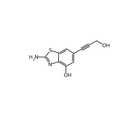 Nc1nc2c(O)cc(C#CCO)cc2s1